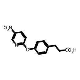 O=C(O)CCc1ccc(Oc2ccc([N+](=O)[O-])cn2)cc1